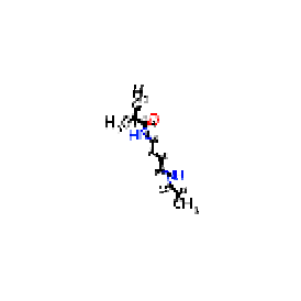 C=C(C)C(=O)NCCCCNCCC